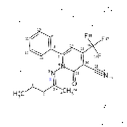 CCC/C(C)=N/n1c(-c2ccccc2)cc(C(F)(F)F)c(C#N)c1=O